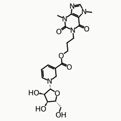 Cn1cnc2c1c(=O)n(CCCOC(=O)C1=CC=CN([C@@H]3O[C@H](CO)[C@@H](O)[C@H]3O)C1)c(=O)n2C